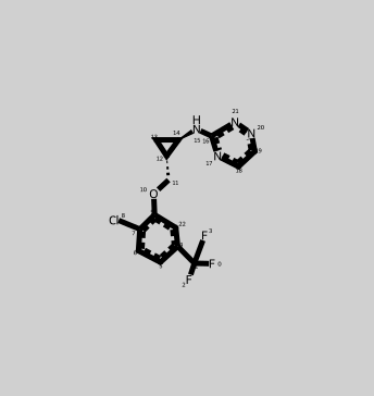 FC(F)(F)c1ccc(Cl)c(OC[C@@H]2C[C@H]2Nc2nccnn2)c1